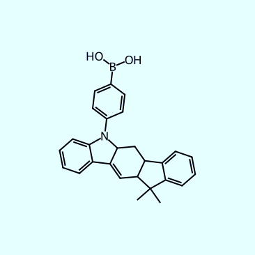 CC1(C)c2ccccc2C2CC3C(=CC21)c1ccccc1N3c1ccc(B(O)O)cc1